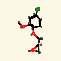 COc1cc(Cl)ccc1OC[C@@H]1CO1